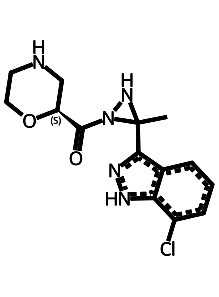 CC1(c2n[nH]c3c(Cl)cccc23)NN1C(=O)[C@@H]1CNCCO1